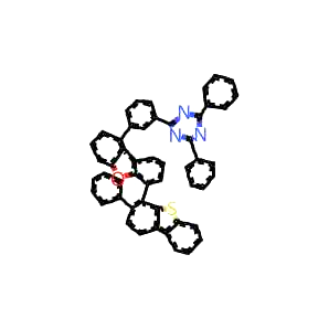 c1ccc(-c2nc(-c3ccccc3)nc(-c3cccc(-c4cccc5oc6c(-c7c(-c8ccccc8)ccc8c7sc7ccccc78)cccc6c45)c3)n2)cc1